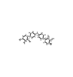 Fc1ccc(-c2ccc(Cc3ccc(-c4ccc(F)c(I)c4I)cc3)cc2)c(I)c1I